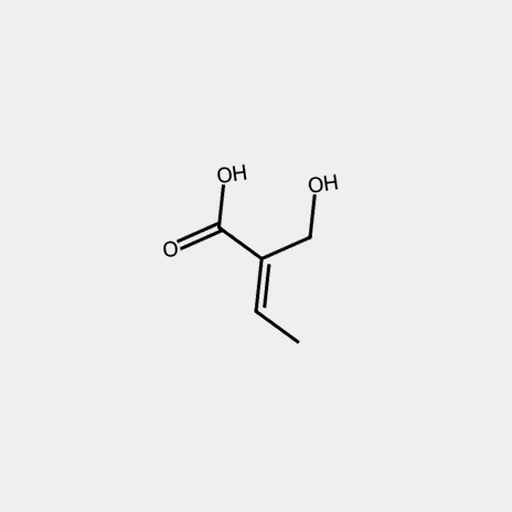 C/C=C(\CO)C(=O)O